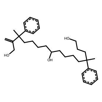 C=C(CO)C(C)(CCCCC(O)CCCCC(C)(CCCO)c1ccccc1)c1ccccc1